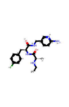 CC(C)CN[C@H](C(=O)N[C@@H](Cc1ccc(F)cc1)C(=O)NCc1ccc(N)nc1)C(C)C